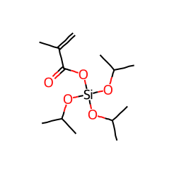 C=C(C)C(=O)O[Si](OC(C)C)(OC(C)C)OC(C)C